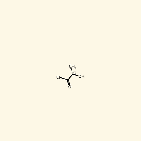 C[C@H](O)C(=O)Cl